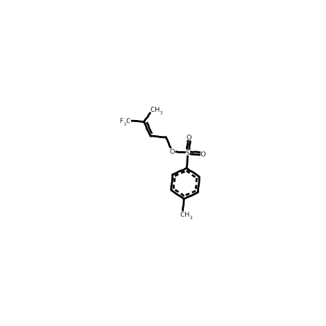 CC(=CCOS(=O)(=O)c1ccc(C)cc1)C(F)(F)F